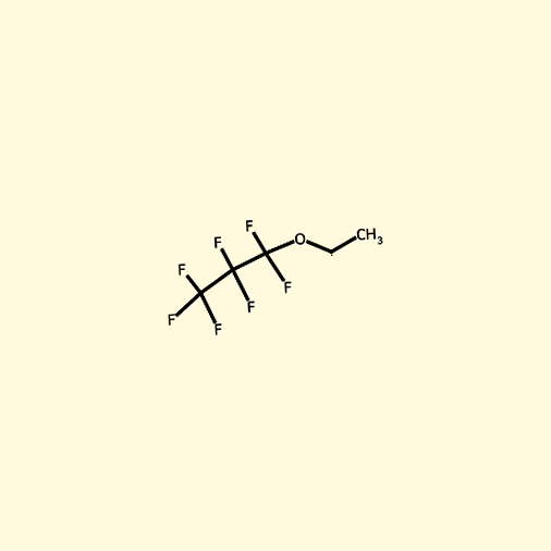 C[CH]OC(F)(F)C(F)(F)C(F)(F)F